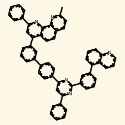 Cc1ccc2ccc3c(-c4cccc(-c5ccc(-c6cc(-c7ccccc7)nc(-c7cccc(-c8cccc9ncccc89)c7)n6)cc5)c4)cc(-c4ccccc4)nc3c2n1